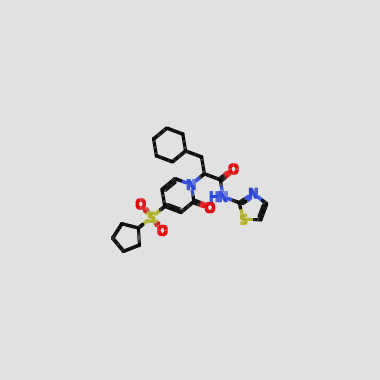 O=C(Nc1nccs1)C(CC1CCCCC1)n1ccc(S(=O)(=O)C2CCCC2)cc1=O